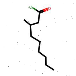 CCCCCCC(C)CC(=O)Cl